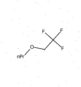 CCCO[CH]C(F)(F)F